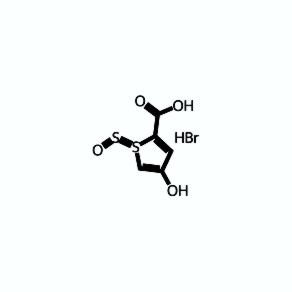 Br.O=S=S1C=C(O)C=C1C(=O)O